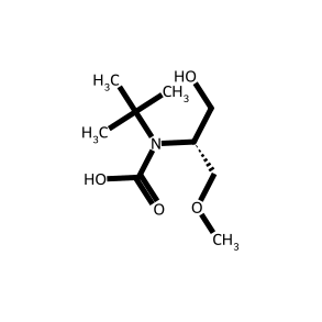 COC[C@@H](CO)N(C(=O)O)C(C)(C)C